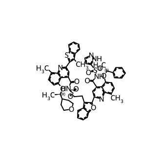 Cc1c(-c2cc(C(=O)NS(=O)(=O)CCc3c(-c4cc(C(=O)NS(=O)(=O)c5ccn[nH]5)c5c(O[C@H](C)c6ccccc6)ccc(C)c5n4)oc4ccccc34)c3c(O[C@H](C)C4CCOCC4)ccc(C)c3n2)sc2ccccc12